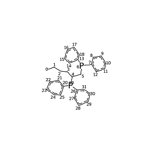 CCCCC(CP(c1ccccc1)c1ccccc1)P(c1ccccc1)c1ccccc1